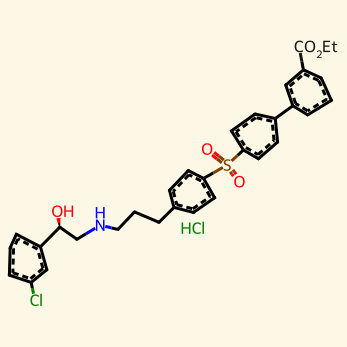 CCOC(=O)c1cccc(-c2ccc(S(=O)(=O)c3ccc(CCCNC[C@H](O)c4cccc(Cl)c4)cc3)cc2)c1.Cl